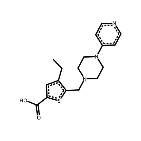 CCc1cc(C(=O)O)sc1CN1CCN(c2ccncc2)CC1